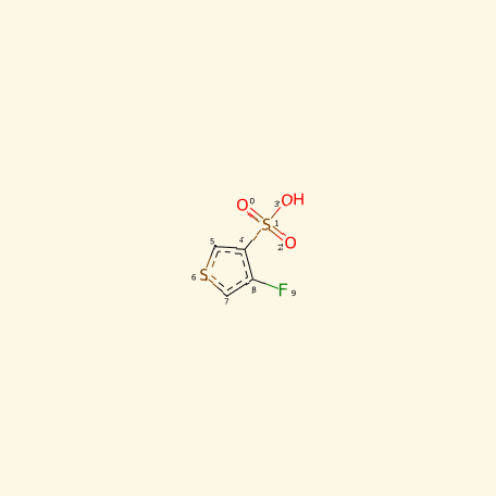 O=S(=O)(O)c1cscc1F